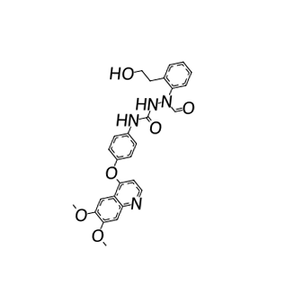 COc1cc2nccc(Oc3ccc(NC(=O)NN(C=O)c4ccccc4CCO)cc3)c2cc1OC